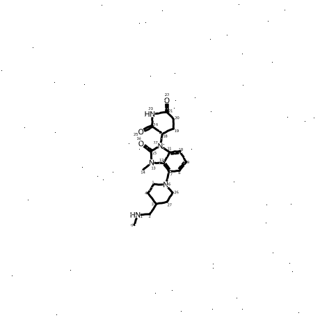 CNCC1CCN(c2cccc3c2n(C)c(=O)n3C2CCC(=O)NC2=O)CC1